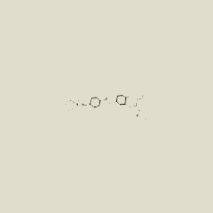 CCC1Oc2ccc(NC(=O)c3ccc(C=NN4CCOCC4)cc3)cc2CC1CC(=O)O